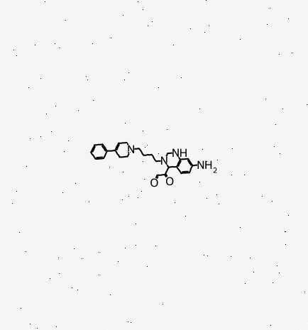 Nc1ccc2c(c1)NCN(CCCCN1CC=C(c3ccccc3)CC1)C2C(=O)C=O